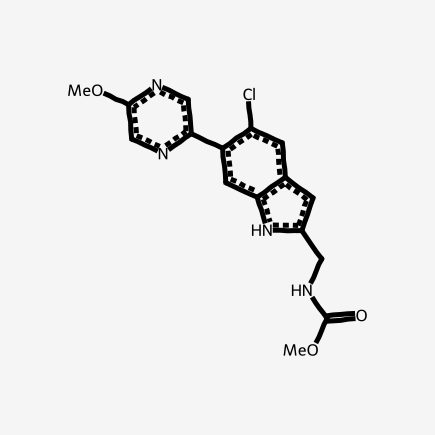 COC(=O)NCc1cc2cc(Cl)c(-c3cnc(OC)cn3)cc2[nH]1